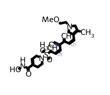 C=C(/C=C\C1=C(C)CN(CCOC)C1)C(/C=C\C(=C)S(=O)(=O)N1CC=C(C(=O)NO)CC1)=C/C